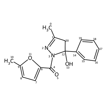 CC1=NN(C(=O)c2ccc(C)o2)C(O)(c2ccccc2)C1